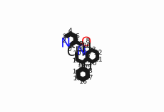 Cc1ncccc1C(=O)N1CC[C@H](c2ccccc2)[C@H]2CCCC[C@H]21